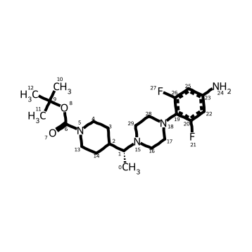 C[C@H](C1CCN(C(=O)OC(C)(C)C)CC1)N1CCN(c2c(F)cc(N)cc2F)CC1